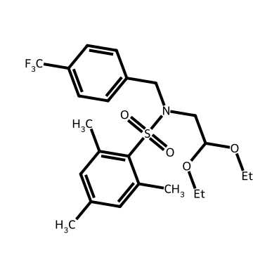 CCOC(CN(Cc1ccc(C(F)(F)F)cc1)S(=O)(=O)c1c(C)cc(C)cc1C)OCC